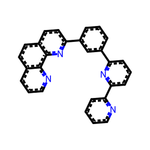 c1ccc(-c2cccc(-c3cccc(-c4ccc5ccc6cccnc6c5n4)c3)n2)nc1